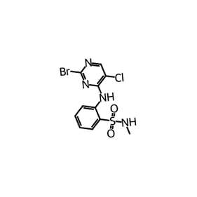 CNS(=O)(=O)c1ccccc1Nc1nc(Br)ncc1Cl